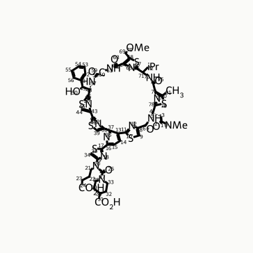 CNC(=O)C[C@@H]1NC(=O)c2csc(n2)-c2ccc(-c3nc(N(CCCC(=O)O)C(=O)N4CCC(C(=O)O)CC4)cs3)nc2-c2csc(n2)-c2csc(n2)[C@H]([C@@H](O)c2ccccc2)NC(=O)CNC(=O)c2nc(sc2COC)C(C(C)C)NC(=O)c2nc1sc2C